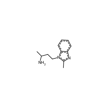 Cc1nc2ccccc2n1CCC(C)N